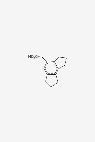 O=C(O)Cc1cc2c(c3c1CCC3)CCC2